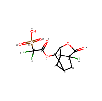 O=C1OC2C(OC(=O)C(F)(F)S(=O)(=O)O)C3CC2C1(Cl)C3